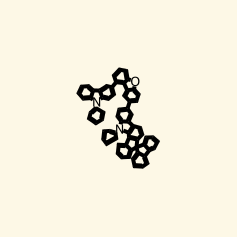 c1ccc(-n2c3ccccc3c3cc(-c4cccc5oc6ccc(-c7ccc8c(c7)c7ccc9c(c7n8-c7ccccc7)-c7ccccc7C97c8ccccc8-c8ccccc87)cc6c45)ccc32)cc1